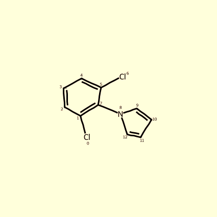 Clc1c[c]cc(Cl)c1-n1cccc1